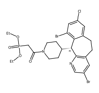 CCOP(=O)(CC(=O)N1CCC([C@H]2c3ncc(Br)cc3CCc3cc(Cl)cc(Br)c32)CC1)OCC